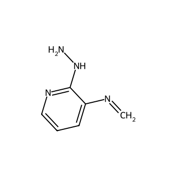 C=Nc1cccnc1NN